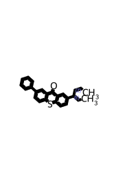 C/C=C\C(=C/C)c1ccc2sc3ccc(-c4ccccc4)cc3c(=O)c2c1